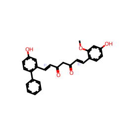 COc1cc(O)ccc1/C=C/C(=O)CC(=O)/C=C/c1cc(O)ccc1-c1ccccc1